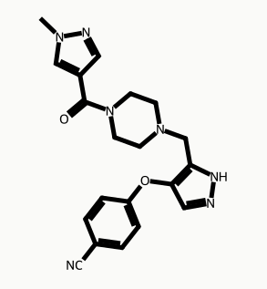 Cn1cc(C(=O)N2CCN(Cc3[nH]ncc3Oc3ccc(C#N)cc3)CC2)cn1